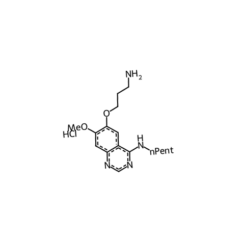 CCCCCNc1ncnc2cc(OC)c(OCCCN)cc12.Cl